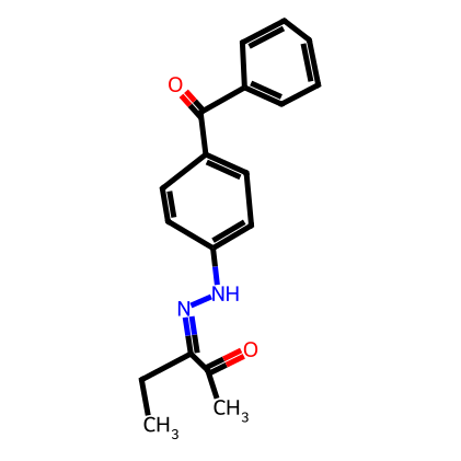 CCC(=NNc1ccc(C(=O)c2ccccc2)cc1)C(C)=O